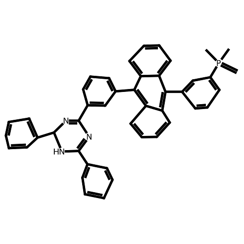 C=P(C)(C)c1cccc(-c2c3ccccc3c(-c3cccc(C4=NC(c5ccccc5)NC(c5ccccc5)=N4)c3)c3ccccc23)c1